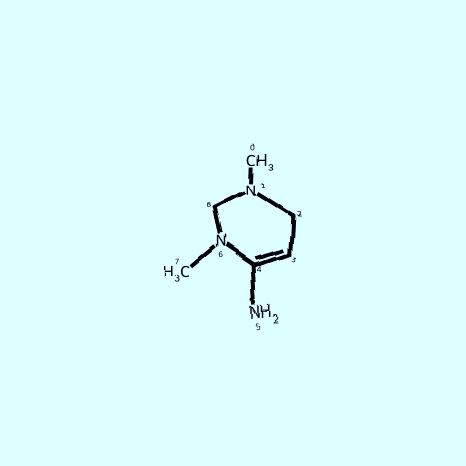 CN1CC=C(N)N(C)C1